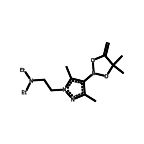 C=C1OB(c2c(C)nn(CCN(CC)CC)c2C)OC1(C)C